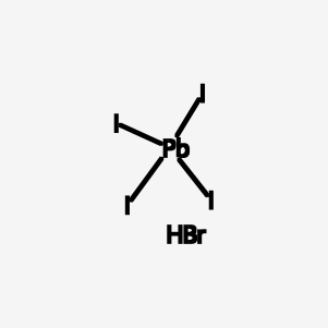 Br.[I][Pb]([I])([I])[I]